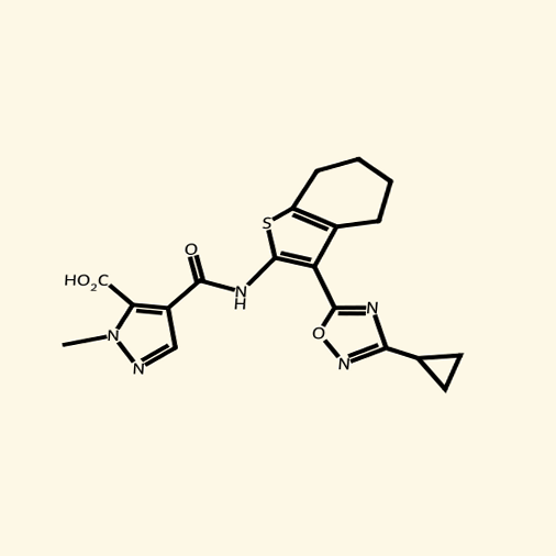 Cn1ncc(C(=O)Nc2sc3c(c2-c2nc(C4CC4)no2)CCCC3)c1C(=O)O